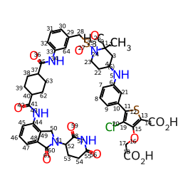 CC1(C)C[C@@H](Nc2cccc(-c3sc(C(=O)O)c(OCC(=O)O)c3Cl)c2)CCN1S(=O)(=O)Cc1cccc(NC(=O)C2CCC(C(=O)Nc3cccc4c3CN(C3CCC(=O)NC3=O)C4=O)CC2)c1